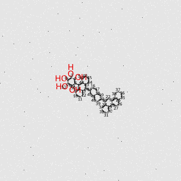 Oc1c(O)c(O)c(-c2c3ccccc3c(-c3ccc4cc(-c5cc6c7c(ccc6c6ccccc56)C=CCC7)ccc4c3)c3ccccc23)c(O)c1O